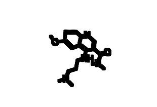 COc1ccc2ncc(C(=O)N(C)C)c(NCCCN(C)C)c2c1